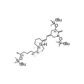 C=C1[C@H](O[Si](C)(C)C(C)(C)C)CC(=C/C=C2\CCC[C@]3(C)[C@@H]([C@H](C)CCC[C@H](C)O[Si](C)(C)C(C)(C)C)CC[C@@H]23)C[C@H]1O[Si](C)(C)C(C)(C)C